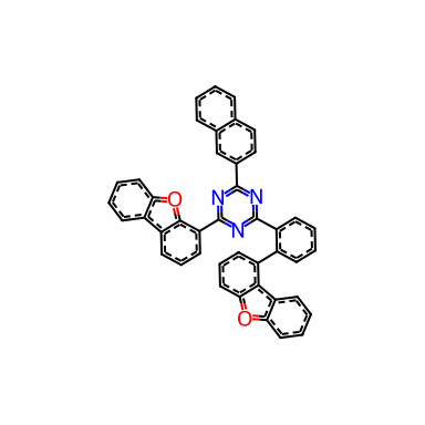 c1ccc(-c2cccc3oc4ccccc4c23)c(-c2nc(-c3ccc4ccccc4c3)nc(-c3cccc4c3oc3ccccc34)n2)c1